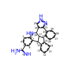 N=C(N)c1ccc2c(c1)C1c3ccccc3CC1C(c1c[nH]nc1-c1ccccc1)N2